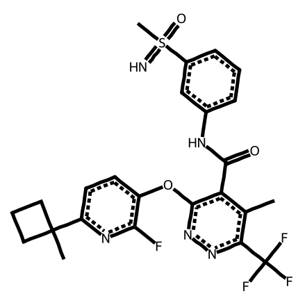 Cc1c(C(F)(F)F)nnc(Oc2ccc(C3(C)CCC3)nc2F)c1C(=O)Nc1cccc(S(C)(=N)=O)c1